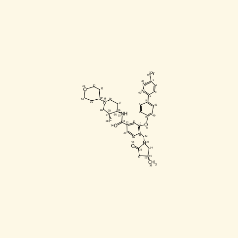 CC(C)c1ccc(-c2ccc(Oc3cc(C(=O)N[C@@H]4CCN(C5CCOCC5)C[C@@H]4F)ccc3CN3C[C@@H](C)CC3=O)cc2)nn1